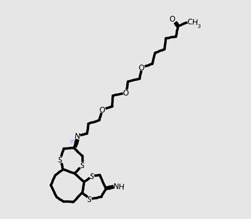 CC(=O)CCCCCOCCOCCOCCC/N=C1/CSC2CCCCCC3SCC(=N)CSC3C2SC1